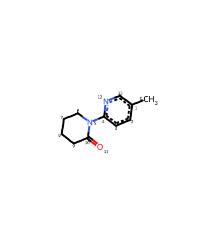 Cc1ccc(N2CCCCC2=O)nc1